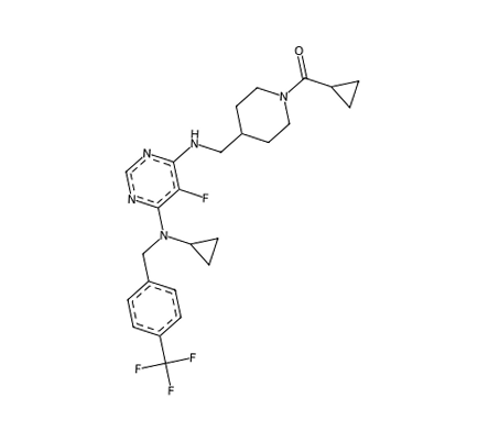 O=C(C1CC1)N1CCC(CNc2ncnc(N(Cc3ccc(C(F)(F)F)cc3)C3CC3)c2F)CC1